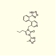 CCCc1cn(-c2ncnn2C)c(=O)n1Cc1cnccc1-c1ccccc1-c1nnn[nH]1